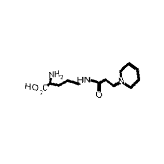 NC(CCCNC(=O)CCN1CCCCC1)C(=O)O